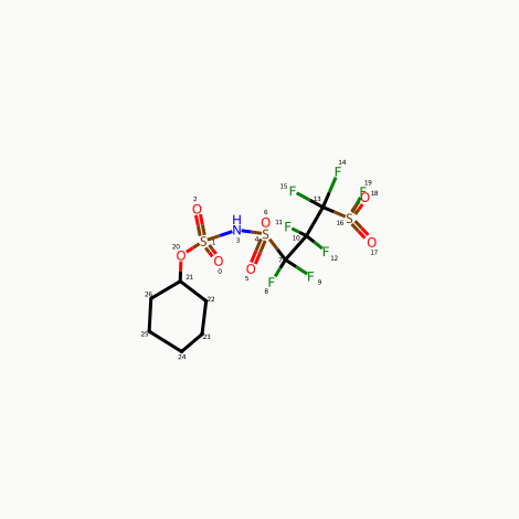 O=S(=O)(NS(=O)(=O)C(F)(F)C(F)(F)C(F)(F)S(=O)(=O)F)OC1CCCCC1